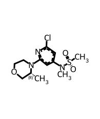 C[C@@H]1COCCN1c1cc(N(C)S(C)(=O)=O)cc(Cl)n1